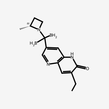 BC(B)(c1cnc2cc(CC)c(=O)[nH]c2c1)N1CC[C@H]1C